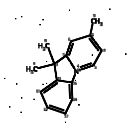 Cc1cc[n+]2c(c1)C(C)(C)c1ccccc1-2